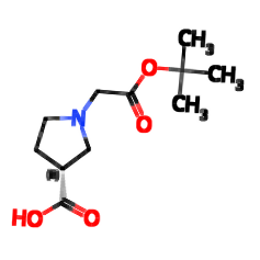 CC(C)(C)OC(=O)CN1CC[C@@H](C(=O)O)C1